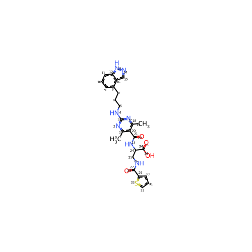 Cc1nc(NCCCc2cccc3[nH]ncc23)nc(C)c1C(=O)NC(CNC(=O)c1cccs1)C(=O)O